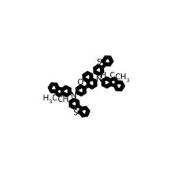 CC1(C)c2ccccc2-c2ccc(N(c3ccc4c(c3)Oc3cccc5c(N(c6ccc7c(c6)C(C)(C)c6ccccc6-7)c6ccc7sc8ccccc8c7c6)ccc-4c35)c3ccc4sc5ccccc5c4c3)cc21